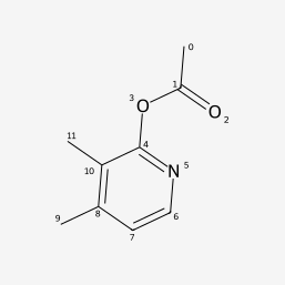 CC(=O)Oc1nccc(C)c1C